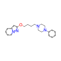 c1ccc(N2CCN(CCCCOc3cc4ccccn4n3)CC2)cc1